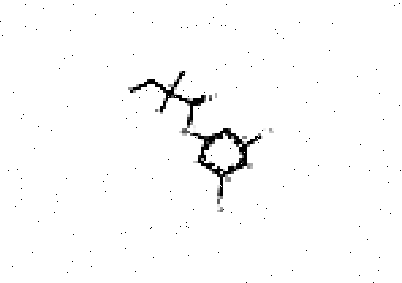 CCC(C)(C)C(=O)Nc1cc(F)cc(F)c1